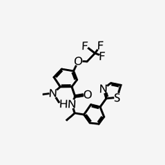 CC(NC(=O)c1cc(OCC(F)(F)F)ccc1N(C)C)c1cccc(-c2nccs2)c1